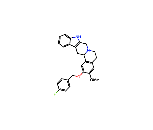 COc1cc2c(cc1OCc1ccc(F)cc1)C1Cc3c([nH]c4ccccc34)CN1CC2